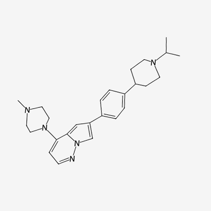 CC(C)N1CCC(c2ccc(-c3cc4c(N5CCN(C)CC5)ccnn4c3)cc2)CC1